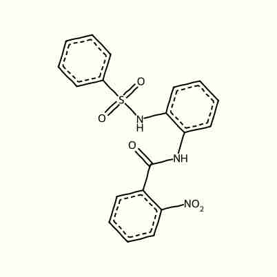 O=C(Nc1ccccc1NS(=O)(=O)c1ccccc1)c1ccccc1[N+](=O)[O-]